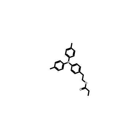 CCC(=O)OCCc1ccc(N(c2ccc(C)cc2)c2ccc(C)cc2)cc1